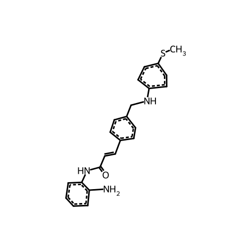 CSc1ccc(NCc2ccc(C=CC(=O)Nc3ccccc3N)cc2)cc1